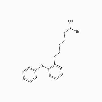 OC(Br)CCCCCc1ccccc1Oc1ccccc1